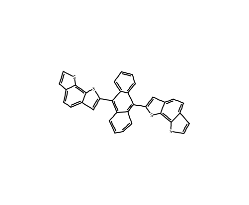 c1ccc2c(-c3cc4ccc5ccsc5c4s3)c3ccccc3c(-c3cc4ccc5ccsc5c4s3)c2c1